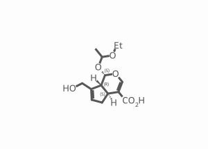 CCOC(C)O[C@@H]1OC=C(C(=O)O)[C@H]2CC=C(CO)[C@H]12